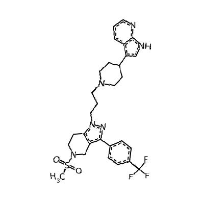 CS(=O)(=O)N1CCc2c(c(-c3ccc(C(F)(F)F)cc3)nn2CCCN2CCC(c3c[nH]c4ncccc34)CC2)C1